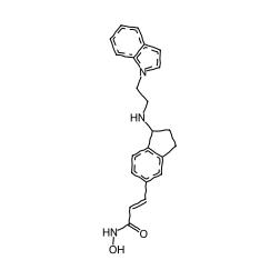 O=C(C=Cc1ccc2c(c1)CCC2NCCn1ccc2ccccc21)NO